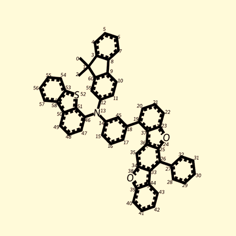 CC1(C)c2ccccc2-c2ccc(N(c3cccc(-c4cccc5oc6c(-c7ccccc7)c7c(cc6c45)oc4ccccc47)c3)c3cccc4c3sc3ccccc34)cc21